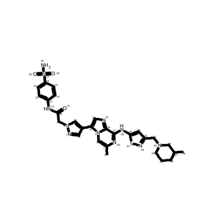 Cc1cn2c(-c3cnn(CC(=O)Nc4ccc(S(N)(=O)=O)cc4)c3)cnc2c(Nc2cc(CN3CCCC(C)C3)ns2)n1